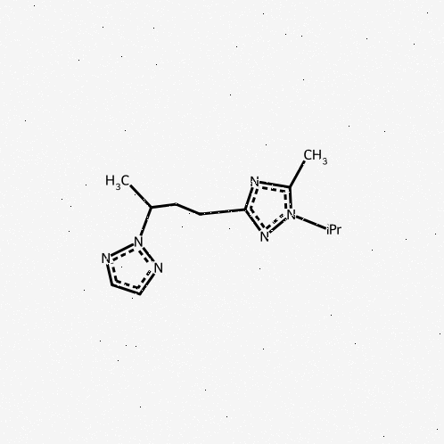 Cc1nc(CCC(C)n2nccn2)nn1C(C)C